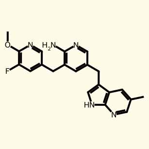 COc1ncc(Cc2cc(Cc3c[nH]c4ncc(C)cc34)cnc2N)cc1F